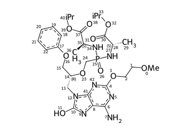 COCCOc1nc(N)c2nc(O)n(C[C@H](COc3ccccc3)OCP(=O)(N[C@@H](C)C(=O)OC(C)C)N[C@@H](C)C(=O)OC(C)C)c2n1